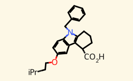 CC(C)CCOc1ccc2c(c1)c1c(n2Cc2ccccc2)CCCC1C(=O)O